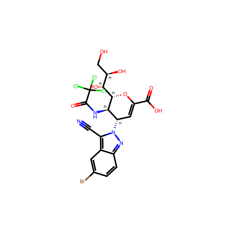 N#Cc1c2cc(Br)ccc2nn1[C@H]1C=C(C(=O)O)O[C@@H]([C@H](O)[C@H](O)CO)[C@@H]1NC(=O)C(Cl)(Cl)Cl